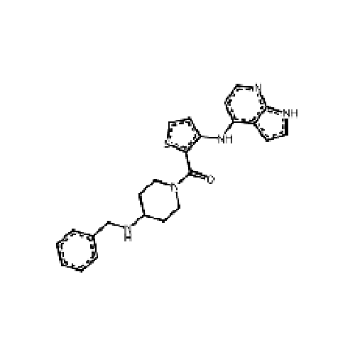 O=C(c1sccc1Nc1ccnc2[nH]ccc12)N1CCC(NCc2ccccc2)CC1